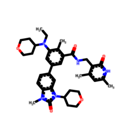 CCN(c1cc(-c2ccc3c(c2)n(C2CCOCC2)c(=O)n3C)cc(C(=O)NCc2c(C)cc(C)[nH]c2=O)c1C)C1CCOCC1